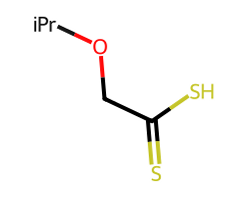 CC(C)OCC(=S)S